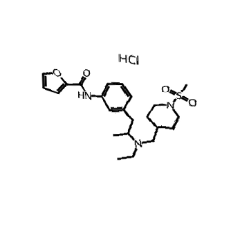 CCN(CC1CCN(S(C)(=O)=O)CC1)C(C)Cc1cccc(NC(=O)c2ccco2)c1.Cl